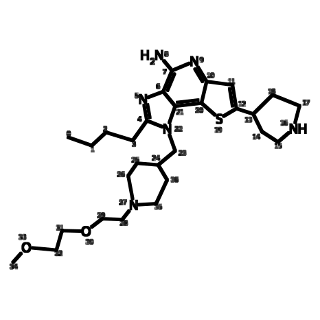 CCCCc1nc2c(N)nc3cc(C4CCNCC4)sc3c2n1CC1CCN(CCOCCOC)CC1